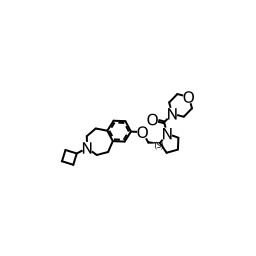 O=C(N1CCOCC1)N1CCC[C@H]1COc1ccc2c(c1)CCN(C1CCC1)CC2